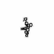 Cc1ccccc1[C@@H]1CCN(C(=O)[C@@H]2CNC[C@]23CCCc2nc(Cl)ccc23)[C@H](C2CCCCC2)C1